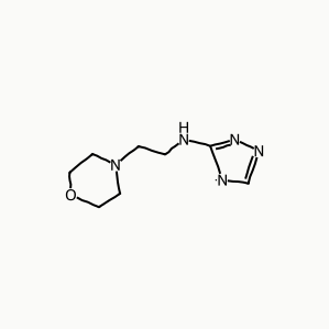 C1=NN=C(NCCN2CCOCC2)[N]1